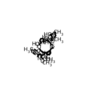 CCn1c(-c2cc(N3CCN(C)CC3)cnc2[C@H](C)OC)c2c3cc(ccc31)-c1csc(n1)C[C@H](NC(=O)N1[C@@H](C)CN(C)CC1(C)O)C(=O)N1CCC[C@@](C)(N1)C(=O)OCC(C)(C)C2